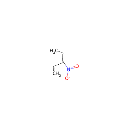 C=C/C(=C\C)[N+](=O)[O-]